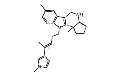 C/C(=C\CCn1c2c(c3cc(C)ccc31)CNC1CCCC21C)c1ccn(C)c1